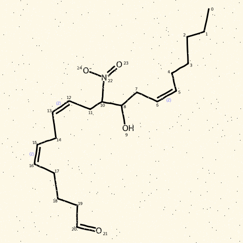 CCCCC/C=C\CC(O)C(C/C=C\C/C=C\CCC[C]=O)[N+](=O)[O-]